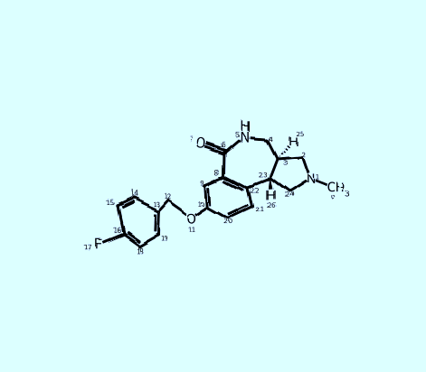 CN1C[C@@H]2CNC(=O)c3cc(OCc4ccc(F)cc4)ccc3[C@H]2C1